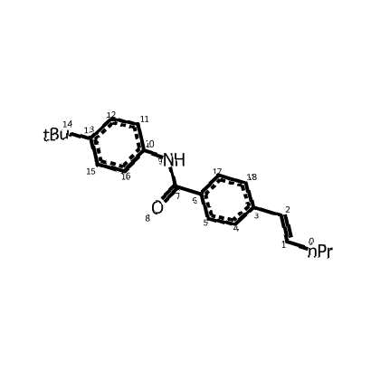 CCC/C=C/c1ccc(C(=O)Nc2ccc(C(C)(C)C)cc2)cc1